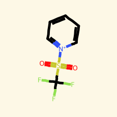 O=S(=O)([n+]1ccccc1)C(F)(F)F